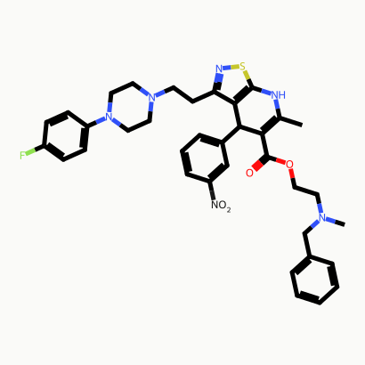 CC1=C(C(=O)OCCN(C)Cc2ccccc2)C(c2cccc([N+](=O)[O-])c2)c2c(CCN3CCN(c4ccc(F)cc4)CC3)nsc2N1